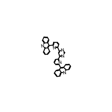 c1cc(-c2cc(-c3cccc(-c4c5ccccc5nc5ccccc45)n3)ncn2)nc(-c2c3ccccc3nc3ccccc23)c1